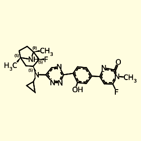 Cn1c(F)cc(-c2ccc(-c3ncc(N(C4CC4)[C@H]4C[C@]5(C)CC[C@@](C)(N5)[C@H]4F)nn3)c(O)c2)nc1=O